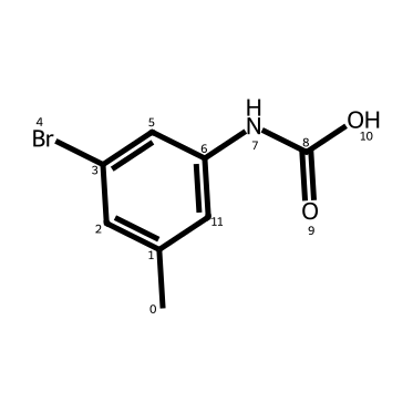 Cc1cc(Br)cc(NC(=O)O)c1